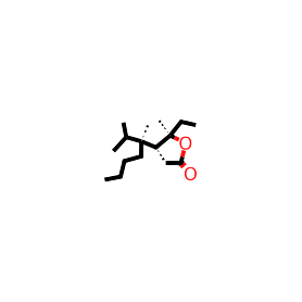 CCCC[C@@](C)(C(C)C)[C@H]1CC(=O)O[C@]1(C)CC